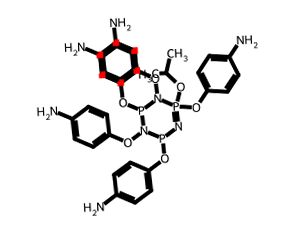 CC(C)OP1(Oc2ccc(N)cc2)=NP(Oc2ccc(N)cc2)N(Oc2ccc(N)cc2)P(Oc2ccc(N)cc2)N1Oc1ccc(N)cc1